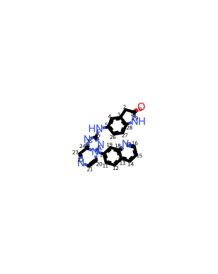 O=C1Cc2cc(NC3=N[N+]4(c5ccc6cccnc6c5)C=CN=CC4=N3)ccc2N1